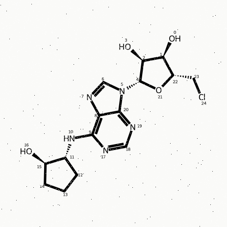 O[C@@H]1[C@H](O)[C@@H](n2cnc3c(N[C@@H]4CCC[C@H]4O)ncnc32)O[C@H]1CCl